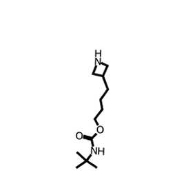 CC(C)(C)NC(=O)OCCCCC1CNC1